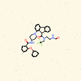 O=CNCCN(CC(F)(F)F)C(=O)C1c2ccccc2-c2cccc(N3CCC(NC(=O)c4ccccc4Oc4ccccc4)CC3)c21